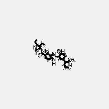 CCc1nn(C)c(NC(=O)c2ccc3[nH]c(-c4cc(-c5cccnc5OC)ccc4O)nc3c2)c1CC